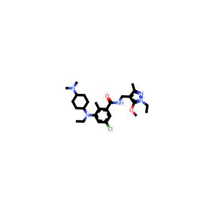 CCN(c1cc(Cl)cc(C(=O)NCc2c(C)nn(CC)c2OC)c1C)C1CCC(N(C)C)CC1